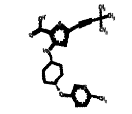 Cc1ccc(O[C@H]2CC[C@H](Nc3cc(C#CC(C)(C)C)sc3C(=O)O)CC2)cn1